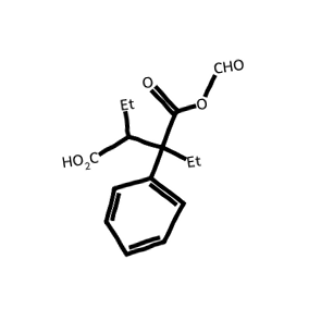 CCC(C(=O)O)C(CC)(C(=O)OC=O)c1ccccc1